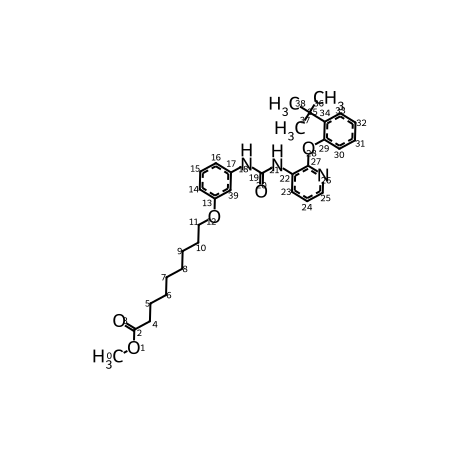 COC(=O)CCCCCCCCOc1cccc(NC(=O)Nc2cccnc2Oc2ccccc2C(C)(C)C)c1